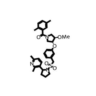 CO[C@@H]1CN(C(=O)c2cc(C)ccc2C)C[C@H]1Oc1cccc(CS(=O)(=O)N2CCCC2c2ccc(C)nc2C)c1